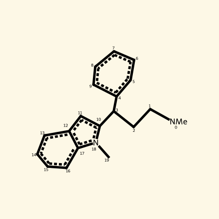 CNCCC(c1ccccc1)c1cc2ccccc2n1C